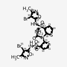 Cc1noc(NS(=O)(=O)c2ccsc2N(C(N)=O)c2sccc2S(=O)(=O)Nc2onc(C)c2Br)c1Br